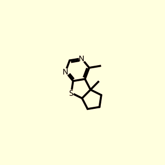 Cc1ncnc2c1C1(C)CCCC1S2